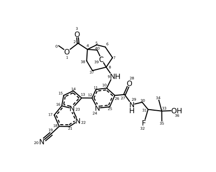 COC(=O)C12CCCC(Nc3cc(-c4ccc5cc(C#N)cnn45)ncc3C(=O)NCC(F)C(C)(C)O)(CC1)CC2